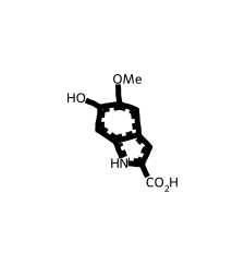 COc1cc2cc(C(=O)O)[nH]c2cc1O